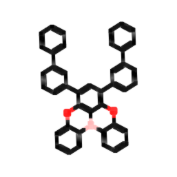 c1ccc(-c2cccc(-c3cc(-c4cccc(-c5ccccc5)c4)c4c5c3Oc3ccccc3B5c3ccccc3O4)c2)cc1